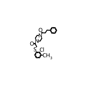 Cc1cccc(SCC(=O)N2CCN(C(=O)CCc3ccccc3)CC2)c1Cl